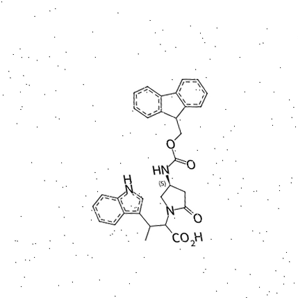 CC(c1c[nH]c2ccccc12)C(C(=O)O)N1C[C@@H](NC(=O)OCC2c3ccccc3-c3ccccc32)CC1=O